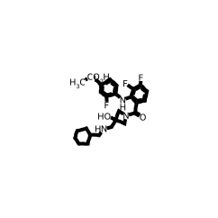 CC(=O)O.O=C(c1ccc(F)c(F)c1Nc1ccc(I)cc1F)N1CC(O)(CNCC2CCCCC2)C1